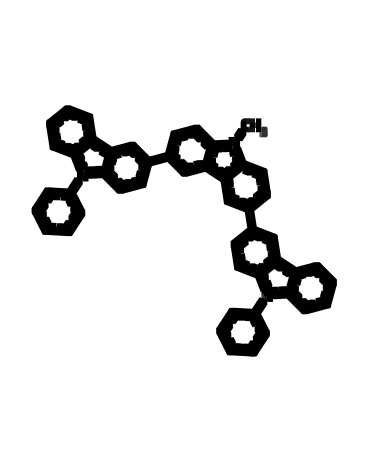 Cn1c2ccc(-c3ccc4c(c3)c3ccccc3n4-c3ccccc3)cc2c2cc(-c3ccc4c(c3)c3ccccc3n4-c3ccccc3)ccc21